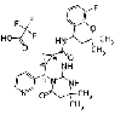 CC1(C)CC(=O)N([C@H](c2cccnc2)[C@@H]2C[C@H]2C(=O)NC2CC(C)(C)Oc3c(F)cccc32)C(=N)N1.O=C(O)C(F)(F)F